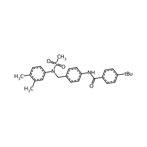 Cc1ccc(N(Cc2ccc(NC(=O)c3ccc(C(C)(C)C)cc3)cc2)S(C)(=O)=O)cc1C